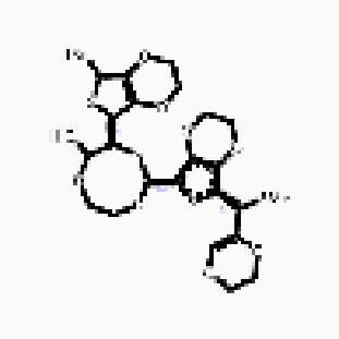 CS/C(C1=COCCO1)=c1/s/c(=C2\OCCOC(C)/C(=C3\SC(C(C)(C)C)C4=C3OCCO4)S2)c2c1OCCO2